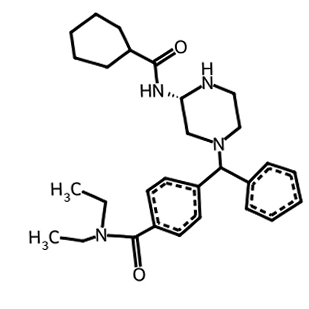 CCN(CC)C(=O)c1ccc(C(c2ccccc2)N2CCN[C@@H](NC(=O)C3CCCCC3)C2)cc1